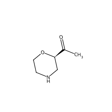 CC(=O)[C@H]1CNCCO1